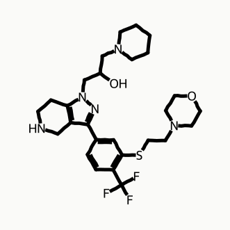 OC(CN1CCCCC1)Cn1nc(-c2ccc(C(F)(F)F)c(SCCN3CCOCC3)c2)c2c1CCNC2